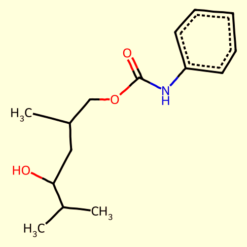 CC(COC(=O)Nc1ccccc1)CC(O)C(C)C